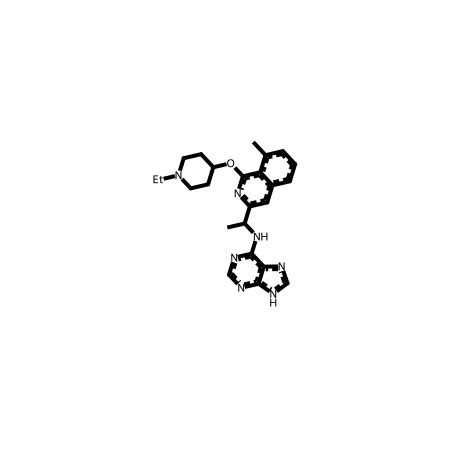 CCN1CCC(Oc2nc(C(C)Nc3ncnc4[nH]cnc34)cc3cccc(C)c23)CC1